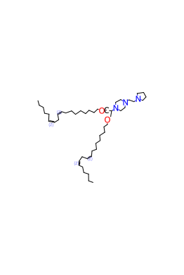 CCCCC/C=C\C/C=C\CCCCCCCCOCC(COCCCCCCCC/C=C\C/C=C\CCCCC)N1CCN(CCN2CCCC2)CC1